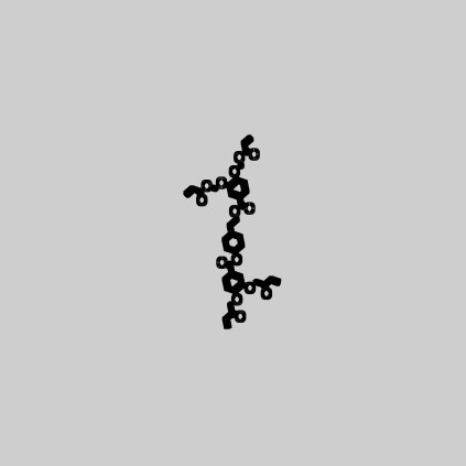 C=CC(=O)COc1ccc(C(=O)OC2CCC(CCOC(=O)c3ccc(OCOC(=O)C=C)c(OCOC(=O)C=C)c3)CC2)cc1OCC(=O)C=C